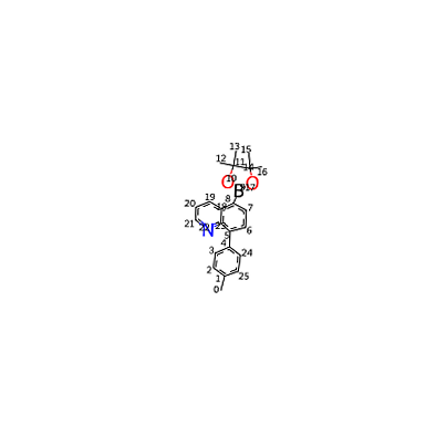 Cc1ccc(-c2ccc(B3OC(C)(C)C(C)(C)O3)c3cccnc23)cc1